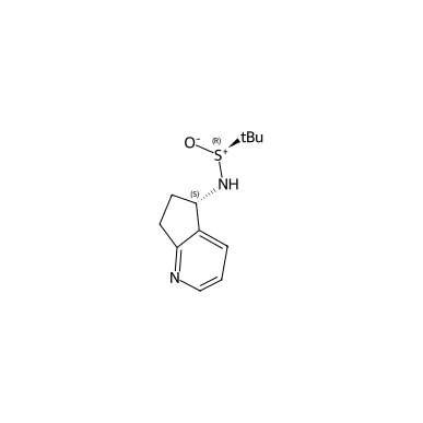 CC(C)(C)[S@+]([O-])N[C@H]1CCc2ncccc21